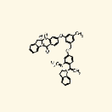 C=Nc1cc(OCc2cc(C)cc(Oc3ccc4c(c3)N[C@@H]3Cc5ccccc5N3C4=O)c2)ccc1C(=C)N1CCc2ccccc21